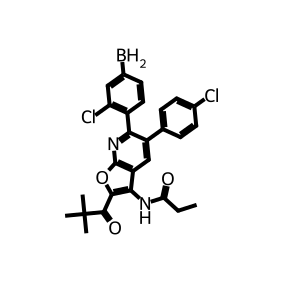 Bc1ccc(-c2nc3oc(C(=O)C(C)(C)C)c(NC(=O)CC)c3cc2-c2ccc(Cl)cc2)c(Cl)c1